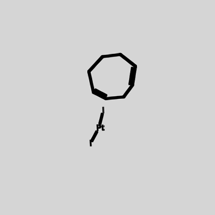 C1=C\CCC/C=C\C/1.[I][Pt][I]